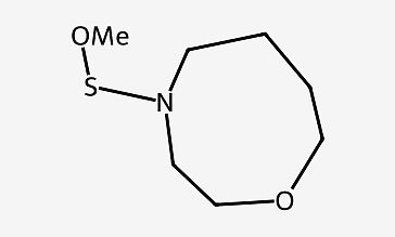 COSN1CCCCOCC1